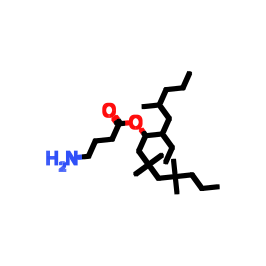 CCCC(C)CC(CC)C(CC(C)(C)CC(C)(C)CCC)OC(=O)CCCN